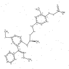 CCc1ccc(O[C@H](C)CCOc2ccc(CCC(=O)O)c(C)c2)c(C(=NOC)c2ccccc2)c1